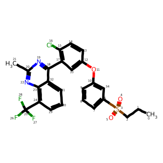 CCCS(=O)(=O)c1cccc(Oc2ccc(Cl)c(-c3nc(C)nc4c(C(F)(F)F)cccc34)c2)c1